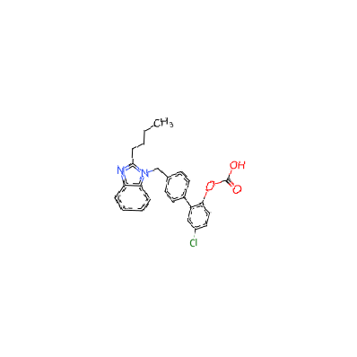 CCCCc1nc2ccccc2n1Cc1ccc(-c2cc(Cl)ccc2OC(=O)O)cc1